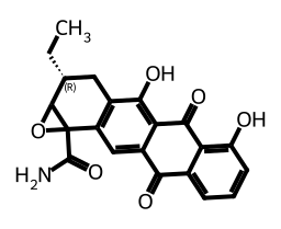 CC[C@@H]1Cc2c(cc3c(c2O)C(=O)c2c(O)cccc2C3=O)C2(C(N)=O)OC12